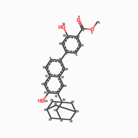 COC(=O)c1ccc(-c2ccc3cc(O)c(C45CC6CC(CC(C6)C4)C5)cc3c2)cc1O